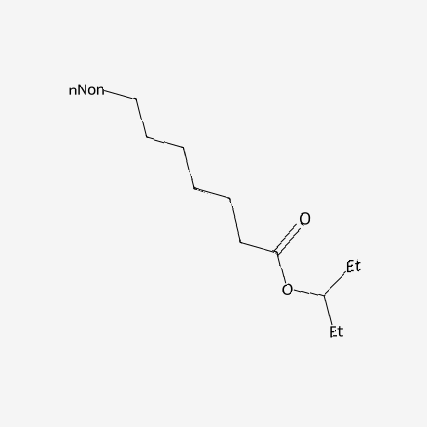 [CH2]CC(CC)OC(=O)CCCCCCCCCCCCCCC